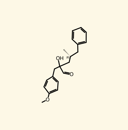 COc1ccc(CC(O)(C=O)C[C@H](C)Cc2ccccc2)cc1